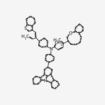 C=C/C(=C\c1csc2ccccc12)c1ccc(N(C(=C)/C=C\C(=C)c2ccccc3ccccc3oc2)c2ccc(-c3cc4c5ccccc5n5c6ccccc6c(c3)c45)cc2)cc1